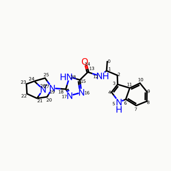 CC(Cc1c[nH]c2ccccc12)NC(=O)c1nnc(N2CC3CCC(C2)N3C)[nH]1